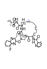 CCc1nc2cccc(F)c2nc1O[C@@H]1C[C@H]2C(=O)N[C@]3(C(=O)NS(=O)(=O)C4(C)CC4)C[C@H]3/C=C\CCCCC[C@H](NC(=O)c3nccs3)C(=O)N2C1